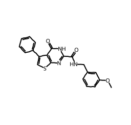 COc1cccc(CNC(=O)c2nc3scc(-c4ccccc4)c3c(=O)[nH]2)c1